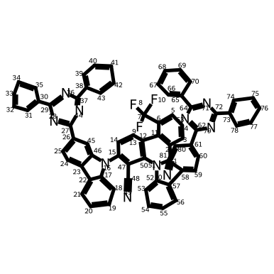 N#Cc1cccc(C(F)(F)F)c1-c1ccc(-n2c3ccccc3c3ccc(-c4nc(-c5ccccc5)nc(-c5ccccc5)n4)cc32)c(C#N)c1-n1c2ccccc2c2ccc(-c3nc(-c4ccccc4)nc(-c4ccccc4)n3)cc21